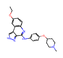 CCOc1ccc2nc(Nc3ccc(OC4CCN(C)CC4)cc3)c3n[nH]cc3c2c1